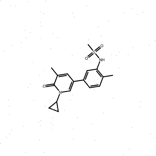 Cc1ccc(-c2cc(C)c(=O)n(C3CC3)c2)cc1NS(C)(=O)=O